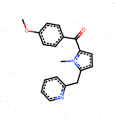 COc1ccc(C(=O)c2ccc(Cc3cc[c]cn3)n2C)cc1